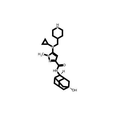 Cn1nc(C(=O)N[C@H]2C3CC4CC2C[C@](O)(C4)C3)cc1N(CC1CCNCC1)C1CC1